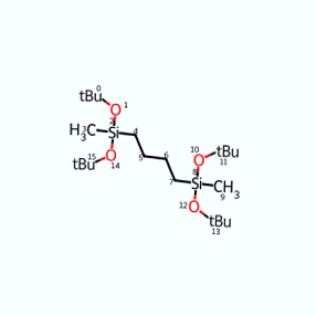 CC(C)(C)O[Si](C)(CCCC[Si](C)(OC(C)(C)C)OC(C)(C)C)OC(C)(C)C